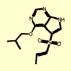 CC=CS(=O)(=O)c1c[nH]c2ncnc(OCC(C)C)c12